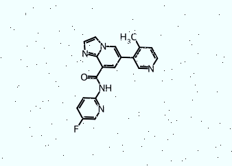 Cc1ccncc1-c1cc(C(=O)Nc2ccc(F)cn2)c2nccn2c1